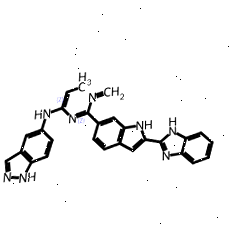 C=N/C(=N\C(=C/C)Nc1ccc2[nH]ncc2c1)c1ccc2cc(-c3nc4ccccc4[nH]3)[nH]c2c1